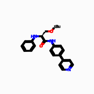 CC(C)(C)OC[C@@H](Nc1ccccc1)C(=O)Nc1ccc(-c2ccncc2)cc1